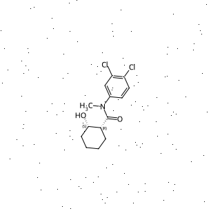 CN(C(=O)[C@@H]1CCCC[C@@H]1O)c1ccc(Cl)c(Cl)c1